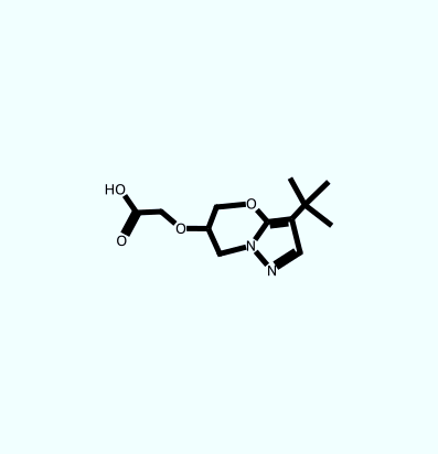 CC(C)(C)c1cnn2c1OCC(OCC(=O)O)C2